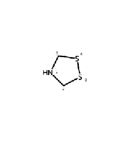 [CH]1NCSS1